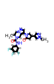 C[C@H]1Cn2ncc(N3CC(c4cnn(C)c4)CC3=O)c2CN1C(=O)Nc1cc(F)c(F)c(F)c1